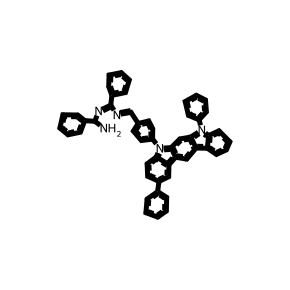 NC(/N=C(\N=C\c1ccc(-n2c3ccc(-c4ccccc4)cc3c3cc4c5ccccc5n(-c5ccccc5)c4cc32)cc1)c1ccccc1)c1ccccc1